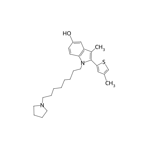 Cc1csc(-c2c(C)c3cc(O)ccc3n2CCCCCCCCN2CCCC2)c1